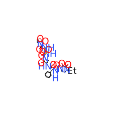 CCN1CCN(C(=O)NC(C(=O)N[C@H]2CN(C(=O)NS(=O)(=O)NC(=O)N3CCOC3=O)C2=O)c2ccccc2)C(=O)C1=O